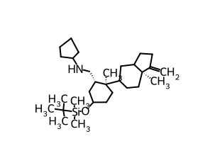 C=C1CCC2CC([C@@]3(C)CCC(O[Si](C)(C)C(C)(C)C)C[C@@H]3CNC3CCCC3)CC[C@]12C